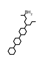 BC(C)CCC(CCC)C1CCC(C2CCC(C3CCCCC3)CC2)CC1